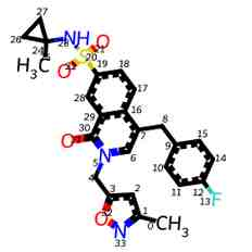 Cc1cc(Cn2cc(Cc3ccc(F)cc3)c3ccc(S(=O)(=O)NC4(C)CC4)cc3c2=O)on1